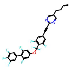 C=CCCc1cnc(C#Cc2cc(F)c(C(F)(F)Oc3cc(F)c(-c4cc(F)c(F)c(F)c4)c(F)c3)c(F)c2)nc1